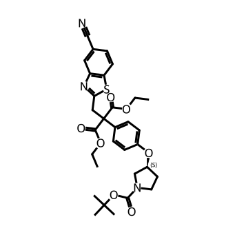 CCOC(=O)C(Cc1nc2cc(C#N)ccc2s1)(C(=O)OCC)c1ccc(O[C@H]2CCN(C(=O)OC(C)(C)C)C2)cc1